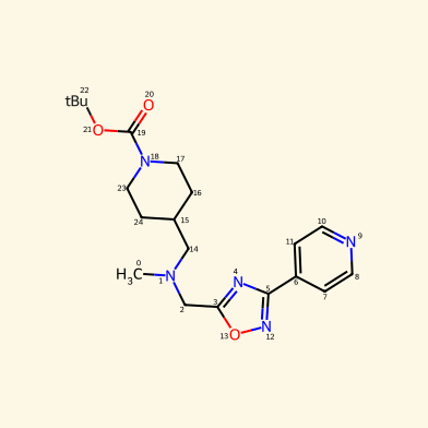 CN(Cc1nc(-c2ccncc2)no1)CC1CCN(C(=O)OC(C)(C)C)CC1